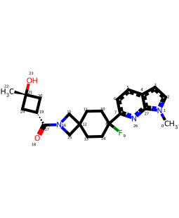 Cn1ccc2ccc(C3(F)CCC4(CC3)CN(C(=O)[C@H]3C[C@@](C)(O)C3)C4)nc21